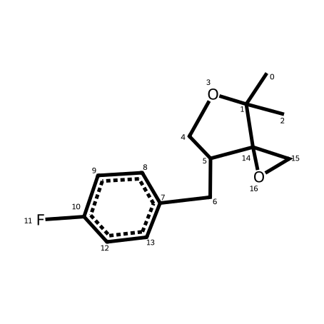 CC1(C)OCC(Cc2ccc(F)cc2)C12CO2